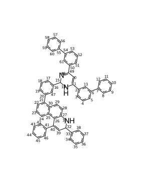 C1=C(c2cccc(-c3ccccc3)c2)NC(c2cccc(-c3cccc4c5c(ccc34)NC(c3ccccc3)C=C5c3ccccc3)c2)N=C1c1cccc(-c2ccccc2)c1